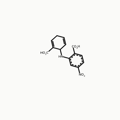 O=C(O)C1=CCC=CC1Nc1cc([N+](=O)[O-])ccc1C(=O)O